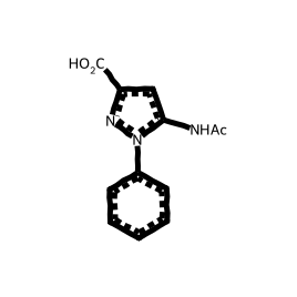 CC(=O)Nc1cc(C(=O)O)nn1-c1ccccc1